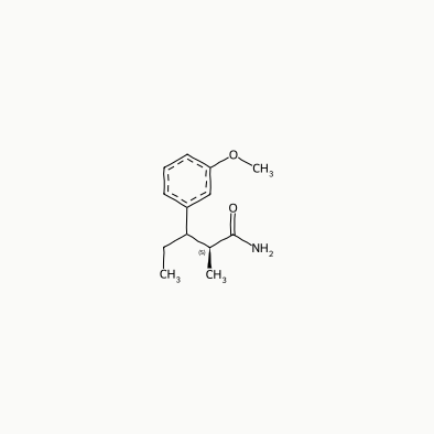 CCC(c1cccc(OC)c1)[C@H](C)C(N)=O